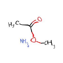 COC(C)=O.N